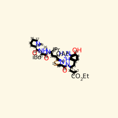 CCOC(=O)C(C)C[C@H](Cc1ccc(O)c(N)c1)NC(=O)c1csc([C@@H](C[C@H](C(C)C)N(C)C(=O)[C@@H](NC(=O)[C@H]2CCCCN2C)[C@@H](C)CC)OC(C)=O)n1